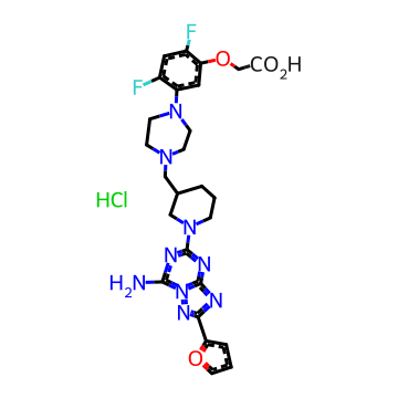 Cl.Nc1nc(N2CCCC(CN3CCN(c4cc(OCC(=O)O)c(F)cc4F)CC3)C2)nc2nc(-c3ccco3)nn12